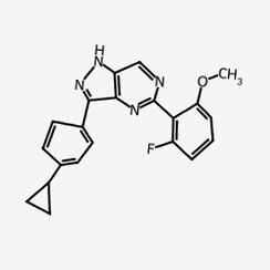 COc1cccc(F)c1-c1ncc2[nH]nc(-c3ccc(C4CC4)cc3)c2n1